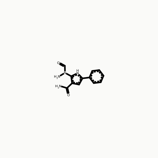 NC(=O)c1cc(-c2ccccc2)[nH]c1N(N)C=O